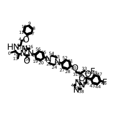 CC(NCCOc1ccccc1)C(C)n1ncn(-c2ccc(N3CCN(c4ccc(OCC5COC(Cn6cncn6)(c6ccc(F)cc6F)O5)cc4)CC3)cc2)c1=O